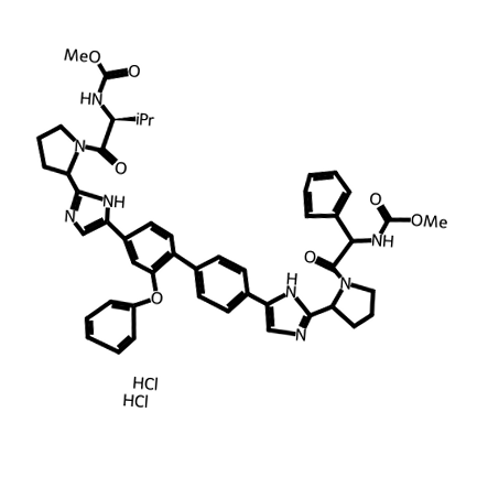 COC(=O)NC(C(=O)N1CCCC1c1ncc(-c2ccc(-c3ccc(-c4cnc(C5CCCN5C(=O)[C@@H](NC(=O)OC)C(C)C)[nH]4)cc3Oc3ccccc3)cc2)[nH]1)c1ccccc1.Cl.Cl